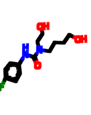 O=C(Nc1ccc(F)cc1)N(CCO)CCCCO